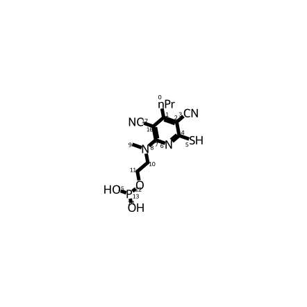 CCCc1c(C#N)c(S)nc(N(C)CCOP(O)O)c1C#N